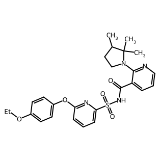 CCOc1ccc(Oc2cccc(S(=O)(=O)NC(=O)c3cccnc3N3CCC(C)C3(C)C)n2)cc1